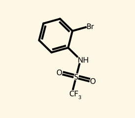 O=S(=O)(Nc1ccccc1Br)C(F)(F)F